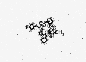 CN(CC(=O)N[C@H](C(=O)N1CCC[C@H]1CN(CCc1ccc(F)cc1)C(=O)OCc1ccccc1)C1CCCCC1)C(=O)OC(C)(C)C